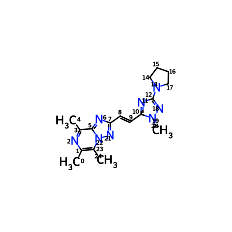 Cc1nc(C)c2nc(C=Cc3nc(N4CCCC4)nn3C)nn2c1C